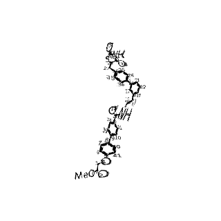 COC(=O)COc1ccc(-c2ccc(C(=O)NCCc3cccc(-c4ccc(CC5SC(=O)NC5=O)cc4)c3)cc2)cc1